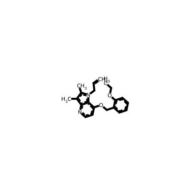 C=CCn1c(C)c(C)c2nccc(OCc3ccccc3OCC)c21